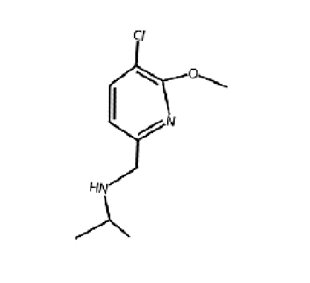 COc1nc(CNC(C)C)ccc1Cl